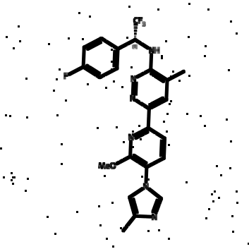 COc1nc(-c2cc(C)c(N[C@H](c3ccc(F)cc3)C(F)(F)F)nn2)ccc1-n1cnc(C)c1